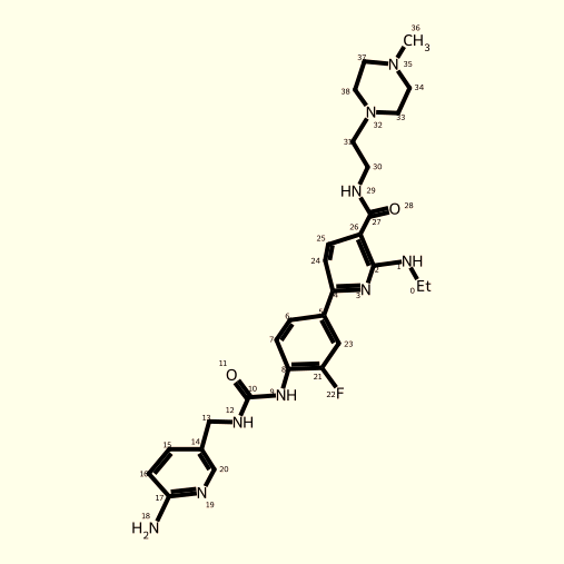 CCNc1nc(-c2ccc(NC(=O)NCc3ccc(N)nc3)c(F)c2)ccc1C(=O)NCCN1CCN(C)CC1